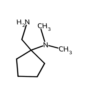 CN(C)C1(CN)CCCC1